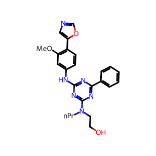 CCCN(CCO)c1nc(Nc2ccc(-c3cnco3)c(OC)c2)nc(-c2ccccc2)n1